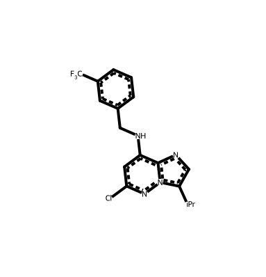 CC(C)c1cnc2c(NCc3cccc(C(F)(F)F)c3)cc(Cl)nn12